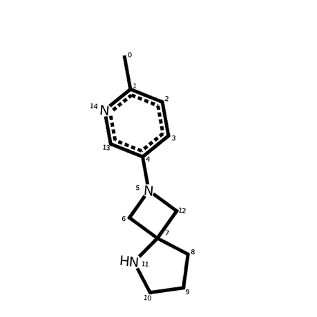 Cc1ccc(N2CC3(CCCN3)C2)cn1